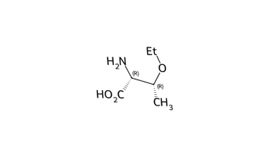 CCO[C@H](C)[C@@H](N)C(=O)O